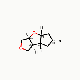 C[C@@H]1C[C@@H]2[C@H]3COC[C@H]3O[C@@H]2C1